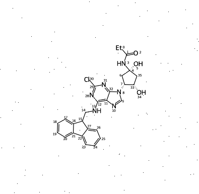 CCC(=O)N[C@]1(O)C[C@@H](n2cnc3c(NCC4c5ccccc5-c5ccccc54)nc(Cl)nc32)[C@@H](O)C1